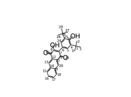 CC(C)(C)c1cc(C2=C(O)C(=O)c3cc4ccccc4cc3C2=O)cc(C(C)(C)C)c1O